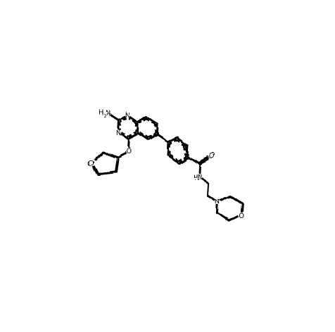 Nc1nc(OC2CCOC2)c2cc(-c3ccc(C(=O)NCCN4CCOCC4)cc3)ccc2n1